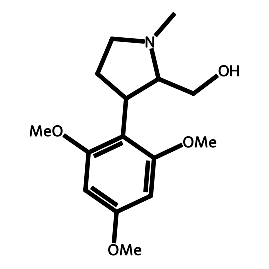 COc1cc(OC)c(C2CCN(C)C2CO)c(OC)c1